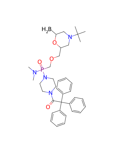 BC1CN(C(C)(C)C)CC(COCP(=O)(N(C)C)N2CCN(C(=O)C(c3ccccc3)(c3ccccc3)c3ccccc3)CC2)O1